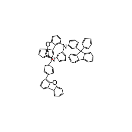 c1ccc(N(c2ccc(-c3cccc4c3oc3ccccc34)cc2)c2cccc(N(c3cccc(C4(c5ccccc5)c5ccccc5-c5ccccc54)c3)c3cccc4oc5ccccc5c34)c2)cc1